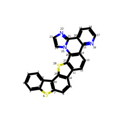 c1ccc2c(c1)sc1ccc3c4ccc5c6ncccc6c6nccn6c5c4sc3c12